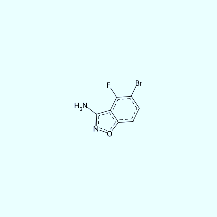 Nc1noc2ccc(Br)c(F)c12